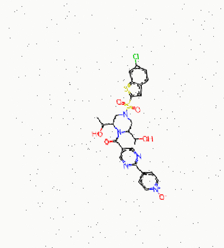 CC(O)C1CN(S(=O)(=O)c2cc3ccc(Cl)cc3s2)CC(C(C)O)N1C(=O)c1cnc(-c2cc[n+]([O-])cc2)nc1